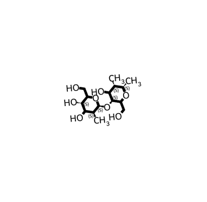 C[C@@H]1OC(CO)[C@@H](O[C@@H]2OC(CO)[C@@H](O)C(O)[C@@H]2C)C(O)[C@@H]1C